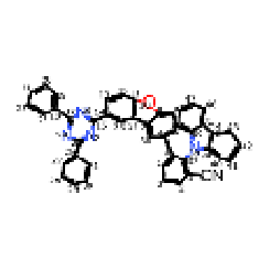 N#Cc1cccc(-c2ccc3oc4ccc(-c5nc(-c6ccccc6)nc(-c6ccccc6)n5)cc4c3c2)c1-n1c2ccccc2c2ccccc21